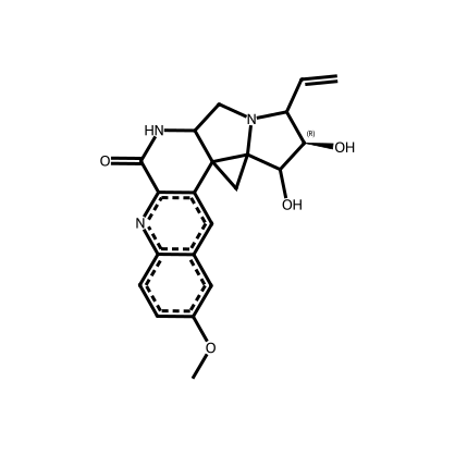 C=CC1[C@@H](O)C(O)C23CC24c2cc5cc(OC)ccc5nc2C(=O)NC4CN13